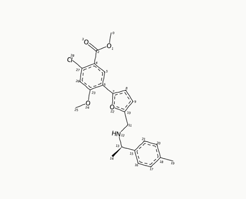 COC(=O)c1cc(-c2ccc(CN[C@H](C)c3ccc(C)cc3)o2)c(OC)cc1Cl